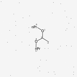 CC[CH]OC(C)OCCC